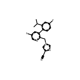 CC(C)c1cc(F)ccc1-c1cc(F)cnc1Cn1cnc(C#N)c1